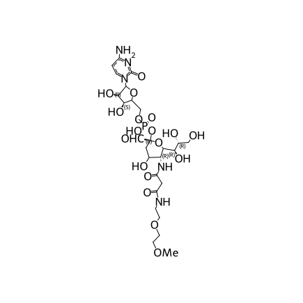 COCCOCCNC(=O)CC(=O)N[C@@H]1C(O)C[C@](C=O)(OP(=O)(O)OCC2OC(n3ccc(N)nc3=O)[C@H](O)[C@@H]2O)OC1[C@H](O)[C@H](O)CO